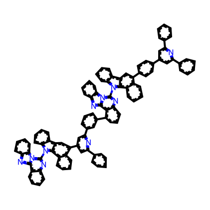 c1ccc(-c2cc(-c3ccc(-c4cc5c6ccccc6n(-c6nc7cccc(-c8cccc(-c9cc(-c%10cc%11c%12ccccc%12n(-c%12nc%13ccccc%13c%13nc%14ccccc%14n%12%13)c%11c%11ccccc%10%11)cc(-c%10ccccc%10)n9)c8)c7c7nc8ccccc8n67)c5c5ccccc45)cc3)cc(-c3ccccc3)n2)cc1